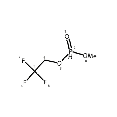 CO[PH](=O)OCC(F)(F)F